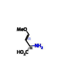 CO/C=C/[C@H](N)C(=O)O